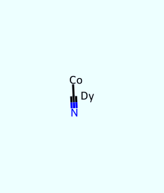 N#[C][Co].[Dy]